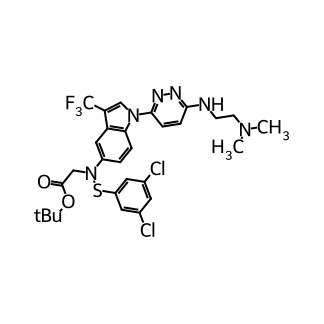 CN(C)CCNc1ccc(-n2cc(C(F)(F)F)c3cc(N(CC(=O)OC(C)(C)C)Sc4cc(Cl)cc(Cl)c4)ccc32)nn1